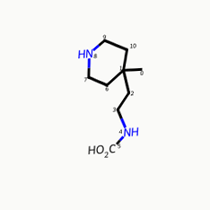 CC1(CCNC(=O)O)CCNCC1